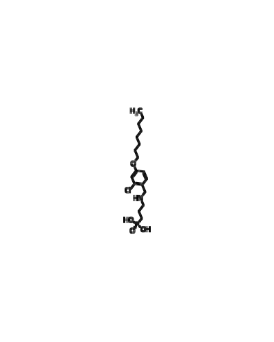 CCCCCCCCOc1ccc(CNCCCP(=O)(O)O)c(Cl)c1